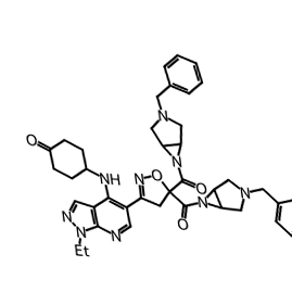 CCn1ncc2c(NC3CCC(=O)CC3)c(C3=NOC(C(=O)N4C5CN(Cc6ccccc6)CC54)(C(=O)N4C5CN(Cc6ccccc6)CC54)C3)cnc21